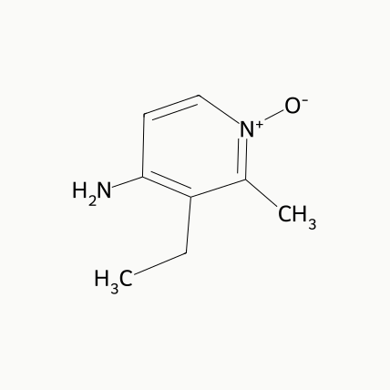 CCc1c(N)cc[n+]([O-])c1C